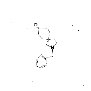 O=C1CCC2(CC1)CCN(Cc1ccccc1)C2